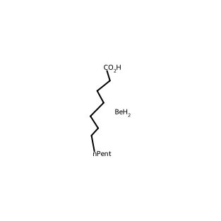 CCCCCCCCCCCC(=O)O.[BeH2]